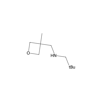 CC(C)(C)CNCC1(C)COC1